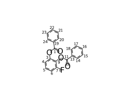 O=C(Oc1cccc(F)c1OC(=O)c1ccccc1)c1ccccc1